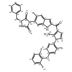 Cc1cc2cc(C(=O)c3cnn(-c4cnc(Oc5c(F)cccc5F)cc4C)c3N)[nH]c2cc1N1C(=O)N[C@@H](Cc2ccccc2)C1=O